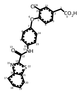 O=C(O)Cc1ccc(Oc2ccc(NC(=O)c3nc4ccccc4s3)cc2)c(Cl)c1